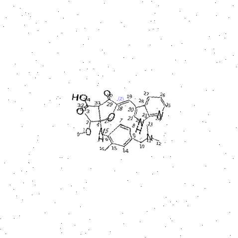 COC(C)C1(Nc2ccc(CN(C)C)cc2C)O/C(=C\c2c[nH]c3ncccc23)C(=O)C1C(=O)O